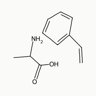 C=Cc1ccccc1.CC(N)C(=O)O